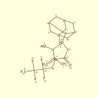 C=C(C)C(O)OC12CC3CC(C1)C(OCC(=O)OCC(F)(F)C(F)(F)C(F)(F)F)C(C3)C2